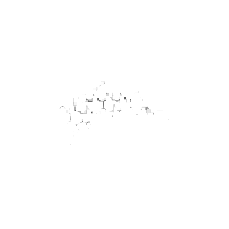 CCOc1cc(OC)c(F)c(N2Cc3cnc(NC4CCC(N)CC4)nc3N(CC)C2=O)c1Cl